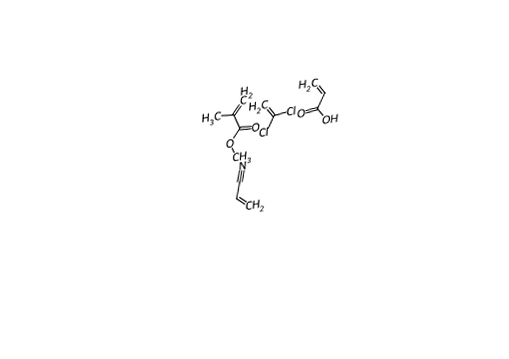 C=C(C)C(=O)OC.C=C(Cl)Cl.C=CC#N.C=CC(=O)O